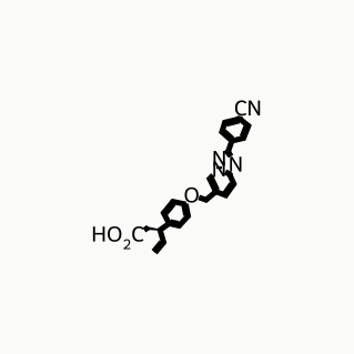 C=C[C@@H](CC(=O)O)c1ccc(OCc2ccc3nc(-c4ccc(C#N)cc4)nn3c2)cc1